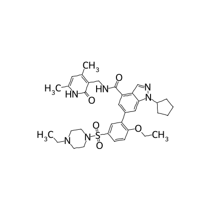 CCOc1ccc(S(=O)(=O)N2CCN(CC)CC2)cc1-c1cc(C(=O)NCc2c(C)cc(C)[nH]c2=O)c2cnn(C3CCCC3)c2c1